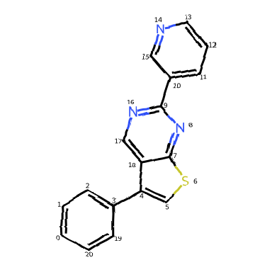 c1ccc(-c2csc3nc(-c4cccnc4)ncc23)cc1